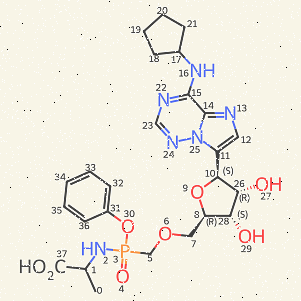 CC(NP(=O)(COC[C@H]1O[C@@H](c2cnc3c(NC4CCCC4)ncnn23)[C@H](O)[C@@H]1O)Oc1ccccc1)C(=O)O